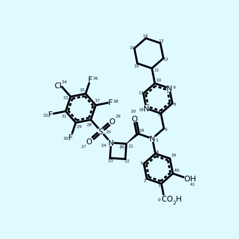 O=C(O)c1ccc(N(Cc2cnc(C3CCCCC3)cn2)C(=O)[C@H]2CCN2S(=O)(=O)c2c(F)c(F)c(Cl)c(F)c2F)cc1O